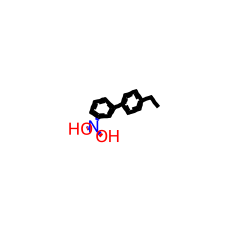 CCc1ccc(-c2cccc(N(O)O)c2)cc1